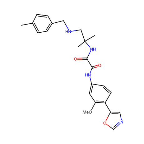 COc1cc(NC(=O)C(=O)NC(C)(C)CNCc2ccc(C)cc2)ccc1-c1cnco1